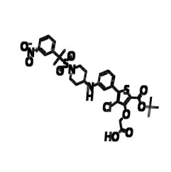 CC(C)(C)OC(=O)c1sc(-c2cccc(NC3CCN(S(=O)(=O)C(C)(C)c4cccc([N+](=O)[O-])c4)CC3)c2)c(Cl)c1OCC(=O)O